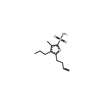 C=CCCc1sc(S(N)(=O)=O)c(C)c1CCC